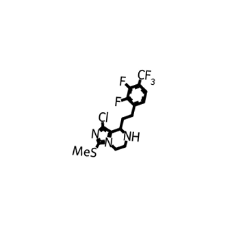 CSc1nc(Cl)c2n1CCNC2CCc1ccc(C(F)(F)F)c(F)c1F